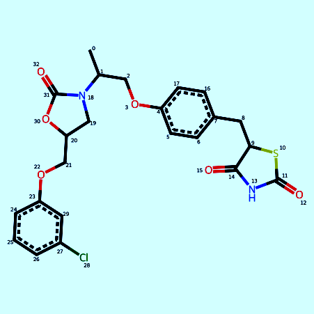 CC(COc1ccc(CC2SC(=O)NC2=O)cc1)N1CC(COc2cccc(Cl)c2)OC1=O